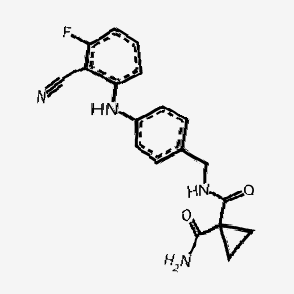 N#Cc1c(F)cccc1Nc1ccc(CNC(=O)C2(C(N)=O)CC2)cc1